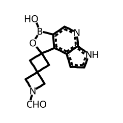 O=CN1CC2(C1)CC1(C2)OB(O)c2cnc3[nH]ccc3c21